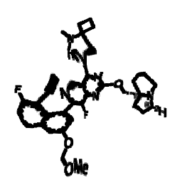 [2H][C@@H]1CC[C@@]2(COc3nc(NCC4(N(C)C)CCC4)c4cnc(-c5cc(OCOC)cc6ccc(F)c(C#C)c56)c(F)c4n3)CCCN12